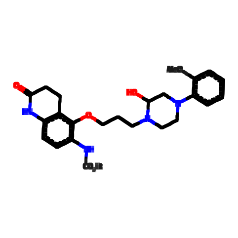 CCOC(=O)Nc1ccc2c(c1OCCCN1CCN(c3ccccc3OC)CC1O)CCC(=O)N2